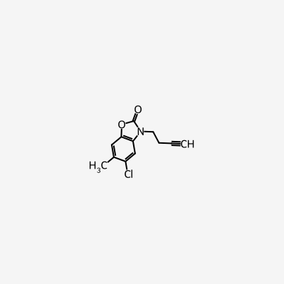 C#CCCn1c(=O)oc2cc(C)c(Cl)cc21